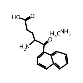 C.N.NC(CCC(=O)O)C(=O)c1cccc2ccccc12